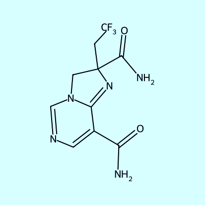 NC(=O)C1=CN=CN2CC(CC(F)(F)F)(C(N)=O)N=C12